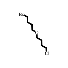 ClCCCCOCCCCBr